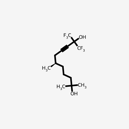 C[C@@H](CC#CC(O)(C(F)(F)F)C(F)(F)F)CCCC(C)(C)O